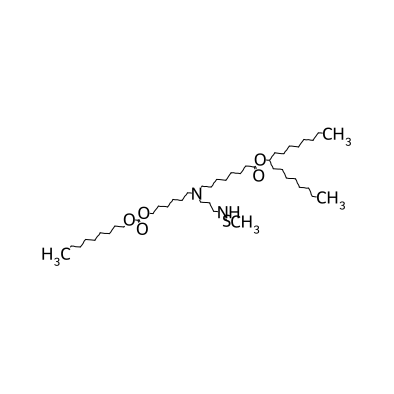 CCCCCCCCCOC(=O)OCCCCCCN(CCCCCCCC(=O)OC(CCCCCCCC)CCCCCCCC)CCCNSC